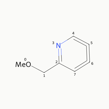 COCC1=NC=C=C=C1